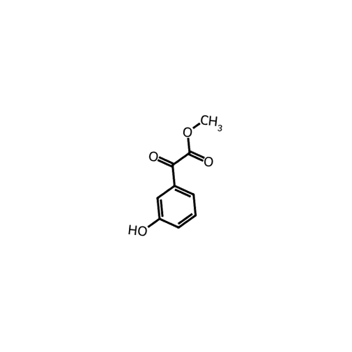 COC(=O)C(=O)c1cccc(O)c1